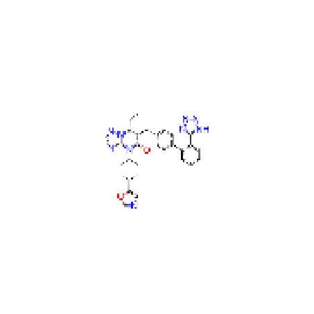 CCCc1c(Cc2ccc(-c3ccccc3-c3nnn[nH]3)cc2)c(=O)n(C2CCC(c3cnco3)CC2)c2ncnn12